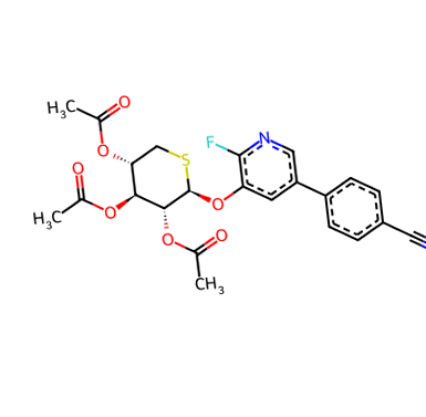 CC(=O)O[C@@H]1[C@@H](OC(C)=O)[C@H](OC(C)=O)CS[C@H]1Oc1cc(-c2ccc(C#N)cc2)cnc1F